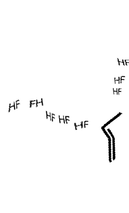 C=CC.F.F.F.F.F.F.F.F